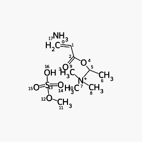 C=CC(=O)OC(C)[N+](C)(C)C.COS(=O)(=O)O.N